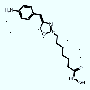 Nc1ccc(/C=C2/N[SH](CCCCCCC(=O)NO)OO2)cc1